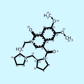 CCn1cc(C(=O)N2CCC[C@H]2CN2CCCC2)c2cc(OC)c(OC)cc2c1=O